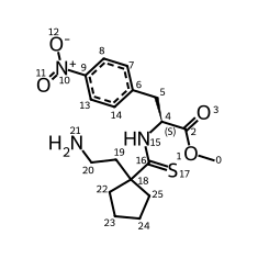 COC(=O)[C@H](Cc1ccc([N+](=O)[O-])cc1)NC(=S)C1(CCN)CCCC1